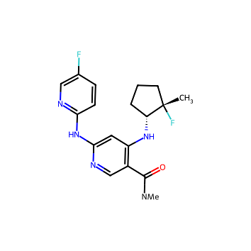 CNC(=O)c1cnc(Nc2ccc(F)cn2)cc1N[C@@H]1CCC[C@]1(C)F